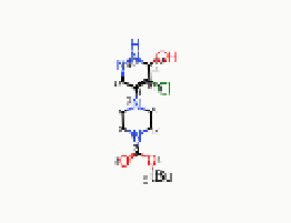 CC(C)(C)OC(=O)N1CCN(C2=C(Cl)C(O)NN=C2)CC1